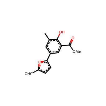 COC(=O)c1cc(-c2ccc(C=O)o2)cc(C)c1O